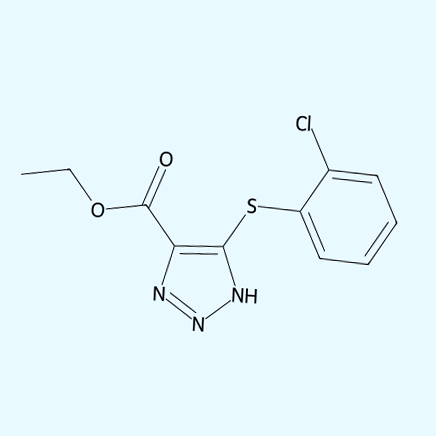 CCOC(=O)c1nn[nH]c1Sc1ccccc1Cl